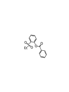 CCS(=O)(=O)c1ccccc1OC(=O)c1ccccc1